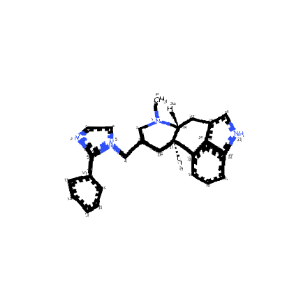 CN1CC(Cn2ccnc2-c2ccccc2)C[C@@H]2c3cccc4[nH]cc(c34)C[C@H]21